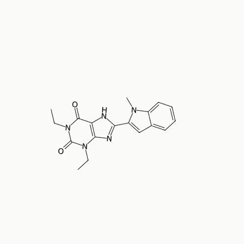 CCn1c(=O)c2[nH]c(-c3cc4ccccc4n3C)nc2n(CC)c1=O